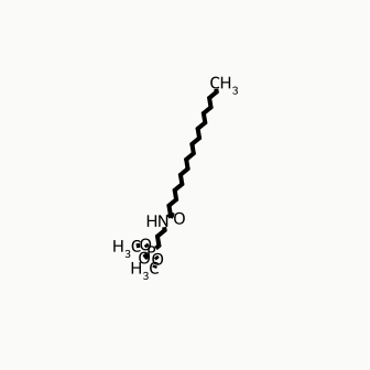 CCCCCCCCCCCCCCCCCC(=O)NCCCP(=O)(OC)OC